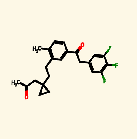 CC(=O)CC1(CCc2cc(C(=O)Cc3cc(F)c(F)c(F)c3)ccc2C)CC1